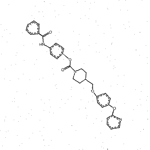 O=C(Nc1ccc(OC(=O)N2CCC(COc3ccc(Oc4ccccn4)cc3)CC2)cc1)c1ccccc1